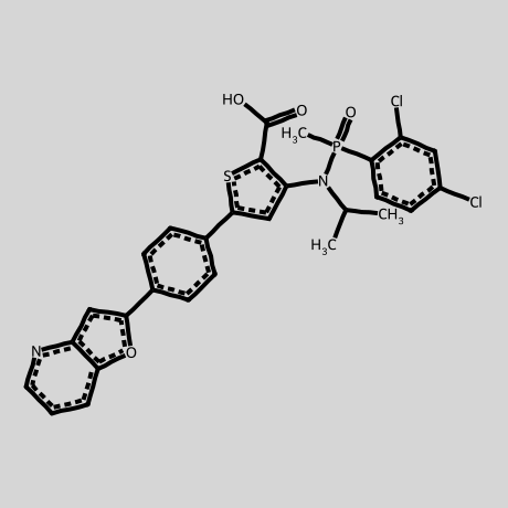 CC(C)N(c1cc(-c2ccc(-c3cc4ncccc4o3)cc2)sc1C(=O)O)P(C)(=O)c1ccc(Cl)cc1Cl